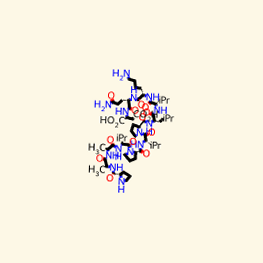 CC(C)C[C@H](NC(=O)[C@@H]1CCCN1C(=O)[C@@H](NC(=O)[C@@H]1CCCN1C(=O)[C@@H](NC(=O)[C@H](C)NC(=O)[C@H](C)NC(=O)[C@@H]1CCCN1)C(C)C)C(C)C)C(=O)N[C@H](C(=O)N[C@@H](CCCCN)C(=O)N[C@@H](CCC(N)=O)C(=O)N[C@@H](CC(=O)O)C(=O)O)C(C)C